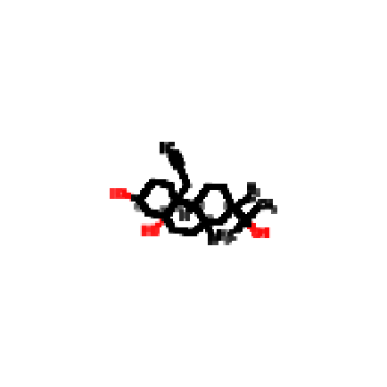 C#CC[C@]12CC[C@H](O)C[C@]1(O)CC[C@H]1C[C@@](C)(C(C)(C)O)CC[C@@H]12